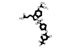 CC(C)Oc1ccc2c(c1)C(CCC(=O)O)CN2S(=O)(=O)c1ccc(Oc2ncc(C(F)(F)F)cc2Cl)cc1